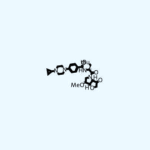 CO[C@@H]1CN(C(=O)[C@H](CC(C)(C)C)NC(=O)c2ccc(N3CCN(C4CC4)CC3)cc2)[C@@H]2C(=O)CO[C@@H]21